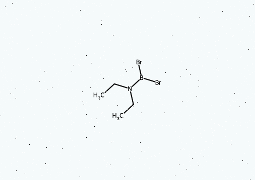 CCN(CC)B(Br)Br